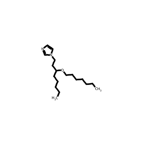 CCCCCCCOC(CCCCC)CCn1ccnc1